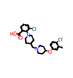 Cc1cc(OC2CCN(CC3CCN(c4c(Cl)cccc4C(=O)O)CC3)CC2)ccc1Cl